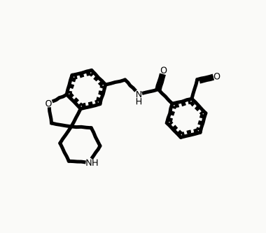 O=Cc1ccccc1C(=O)NCc1ccc2c(c1)C1(CCNCC1)CO2